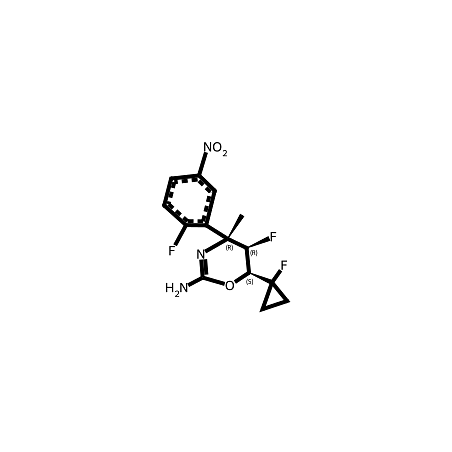 C[C@]1(c2cc([N+](=O)[O-])ccc2F)N=C(N)O[C@H](C2(F)CC2)[C@@H]1F